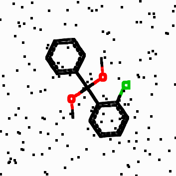 COC(OC)(c1ccccc1)c1ccccc1Cl